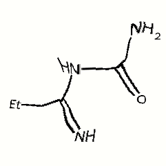 CCC(=N)NC(N)=O